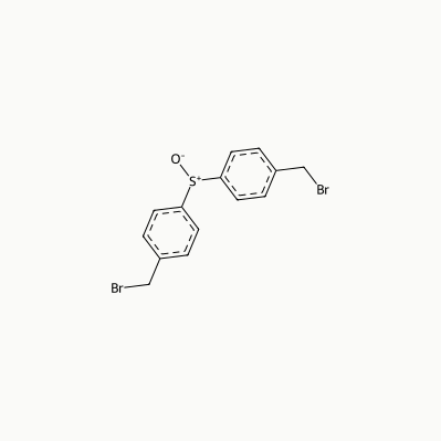 [O-][S+](c1ccc(CBr)cc1)c1ccc(CBr)cc1